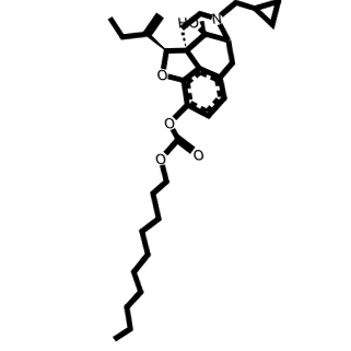 C=C(CC)[C@@H]1Oc2c(OC(=O)OCCCCCCCCCC)ccc3c2[C@@]12CCN(CC1CC1)C(C3)[C@@]2(C)O